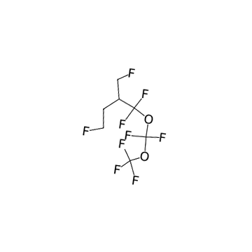 FCCC(CF)C(F)(F)OC(F)(F)OC(F)(F)F